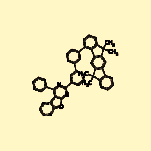 CC1(C)c2ccccc2-c2cc3c(cc21)-c1c(-c2cccc(-c4cccc(-c5nc(-c6ccccc6)c6c(n5)oc5ccccc56)c4)c2)cccc1C3(C)C